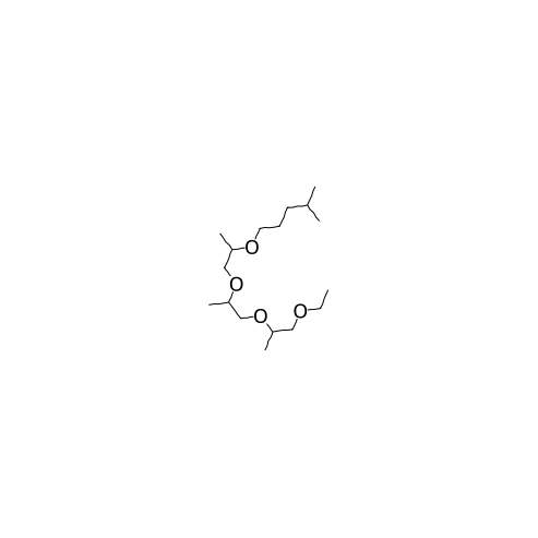 CCOCC(C)OCC(C)OCC(C)OCCCC(C)C